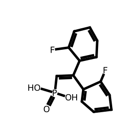 O=P(O)(O)C=C(c1ccccc1F)c1ccccc1F